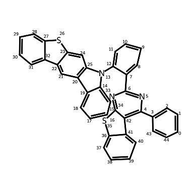 c1ccc(-c2nc(-c3ccccc3-n3c4ccccc4c4cc5c(cc43)sc3ccccc35)nc3sc4ccccc4c23)cc1